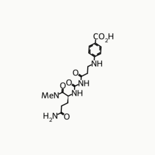 CNC(=O)[C@H](CCC(N)=O)NC(=O)NC(=O)CCNc1ccc(C(=O)O)cc1